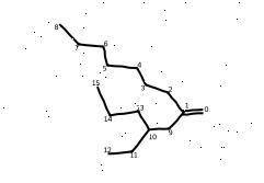 C=C(CCCCCCC)CC(CC)CCC